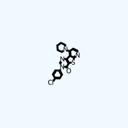 O=c1c2sc3nccc(N4CCCCC4)c3c2ncn1-c1ccc(Cl)cc1